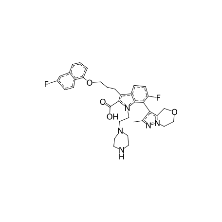 Cc1nn2c(c1-c1c(F)ccc3c(CCCOc4cccc5cc(F)ccc45)c(C(=O)O)n(CCN4CCNCC4)c13)COCC2